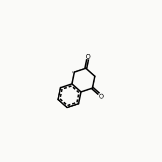 O=C1[C]c2ccccc2C(=O)C1